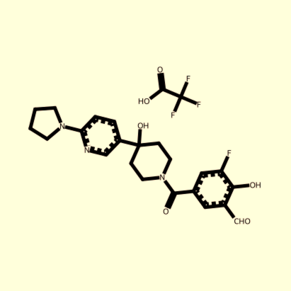 O=C(O)C(F)(F)F.O=Cc1cc(C(=O)N2CCC(O)(c3ccc(N4CCCC4)nc3)CC2)cc(F)c1O